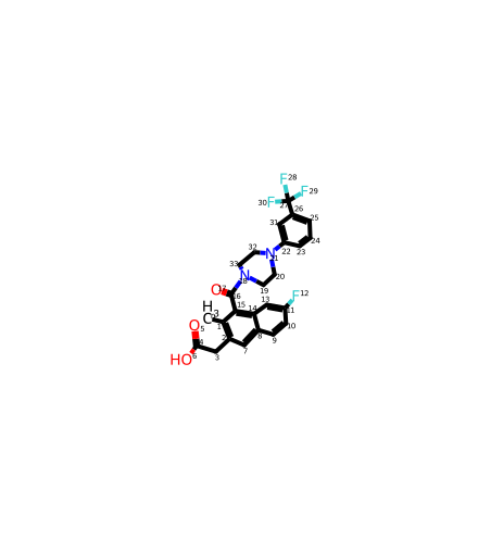 Cc1c(CC(=O)O)cc2ccc(F)cc2c1C(=O)N1CCN(c2cccc(C(F)(F)F)c2)CC1